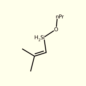 CCCO[SiH2]C=C(C)C